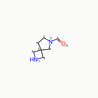 O=CN1CCC2(CNC2)C1